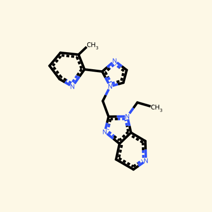 CCn1c(Cn2ccnc2-c2ncccc2C)nc2ccncc21